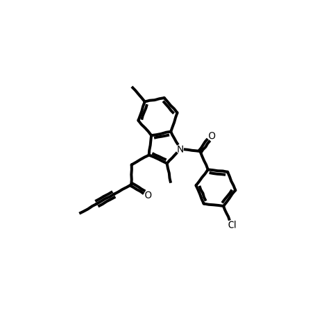 CC#CC(=O)Cc1c(C)n(C(=O)c2ccc(Cl)cc2)c2ccc(C)cc12